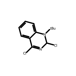 CC(C)(C)N1c2ccccc2C(Cl)=NC1Cl